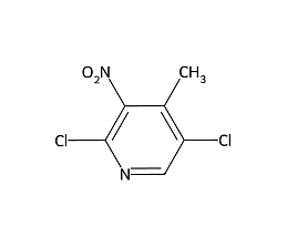 Cc1c(Cl)cnc(Cl)c1[N+](=O)[O-]